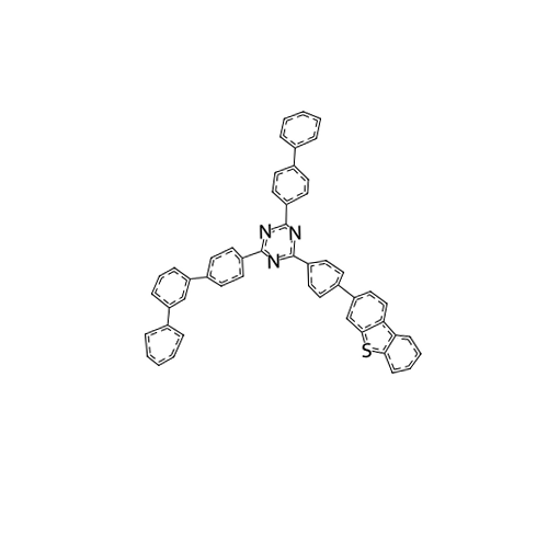 c1ccc(-c2ccc(-c3nc(-c4ccc(-c5cccc(-c6ccccc6)c5)cc4)nc(-c4ccc(-c5ccc6c(c5)sc5ccccc56)cc4)n3)cc2)cc1